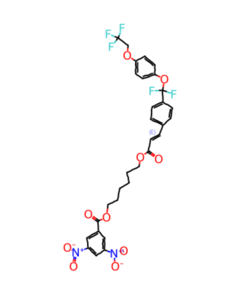 O=C(/C=C/c1ccc(C(F)(F)Oc2ccc(OCC(F)(F)F)cc2)cc1)OCCCCCCOC(=O)c1cc([N+](=O)[O-])cc([N+](=O)[O-])c1